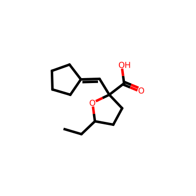 CCC1CCC(C=C2CCCC2)(C(=O)O)O1